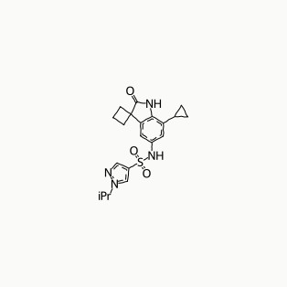 CC(C)n1cc(S(=O)(=O)Nc2cc(C3CC3)c3c(c2)C2(CCC2)C(=O)N3)cn1